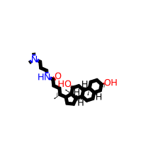 C[C@H](CCC(=O)NCCCN(C)C)C1CC[C@H]2[C@@H]3CC[C@@H]4C[C@H](O)CC[C@]4(C)[C@H]3C[C@H](O)[C@]12C